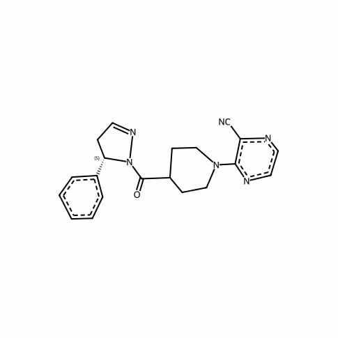 N#Cc1nccnc1N1CCC(C(=O)N2N=CC[C@H]2c2ccccc2)CC1